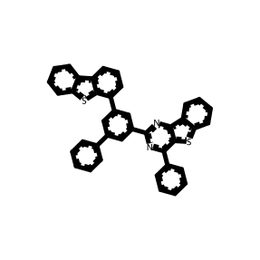 c1ccc(-c2cc(-c3nc(-c4ccccc4)c4sc5ccccc5c4n3)cc(-c3cccc4c3sc3ccccc34)c2)cc1